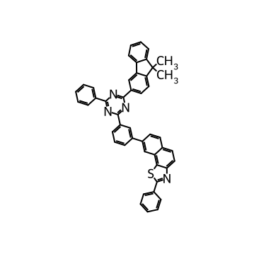 CC1(C)c2ccccc2-c2cc(-c3nc(-c4ccccc4)nc(-c4cccc(-c5ccc6ccc7nc(-c8ccccc8)sc7c6c5)c4)n3)ccc21